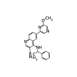 COc1cncc(-c2ccc3ncc(C#N)c(NC(C)c4ccccc4)c3c2)n1